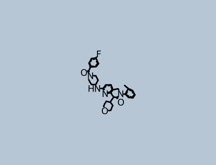 Cc1ccccc1N1Cc2ccc(NC3CCN(C(=O)c4ccc(F)cc4)CC3)nc2C(C2CCOCC2)C1=O